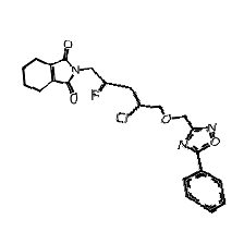 O=C1C2=C(CCCC2)C(=O)N1CC(F)CC(Cl)COCc1noc(-c2ccccc2)n1